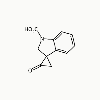 O=C(O)N1CC2(CC2=O)c2ccccc21